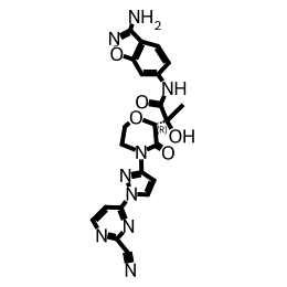 CC(O)(C(=O)Nc1ccc2c(N)noc2c1)[C@H]1OCCN(c2ccn(-c3ccnc(C#N)n3)n2)C1=O